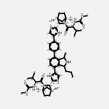 CCCC1NC(C)c2c(-c3ccc(-c4cnc([C@@H]5[C@H]6CC[C@H](C6)N5C(=O)[C@@H](NC(=O)OC)C(C)C)[nH]4)cc3)ccc(-c3cnc([C@@H]4[C@H]5CC[C@H](C5)N4C(=O)[C@@H](NC(=O)OC)C(C)C)[nH]3)c21